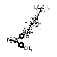 Cc1ccc(-c2cc(C(F)(F)F)nn2-c2ccc(S(=O)(=O)NC(=O)OCC(C)(C)N(C)[N+]([O-])=NOCOC(=O)C(C)C)cc2)cc1